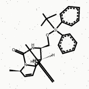 C=C1N[C@H]2[C@H](CO[Si](c3ccccc3)(c3ccccc3)C(C)(C)C)NC(=O)N3[C@H](C)C=CC23N1